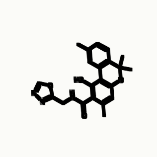 Cc1ccc2c(c1)-c1c(cc(C)c(C(=O)NCc3nnco3)c1O)OC2(C)C